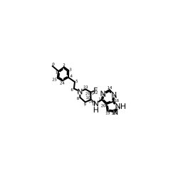 Cc1ccc(CCN2CC[C@H](Nc3ncnc4[nH]ncc34)[C@H](F)C2)cc1